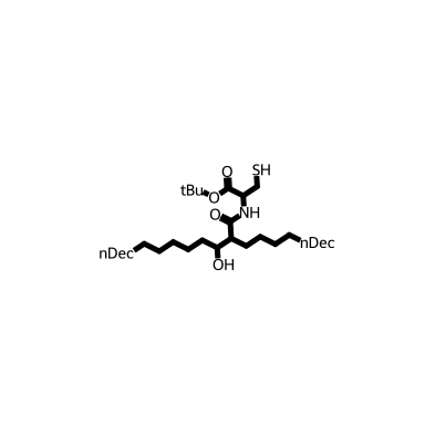 CCCCCCCCCCCCCCCC(O)C(CCCCCCCCCCCCCC)C(=O)NC(CS)C(=O)OC(C)(C)C